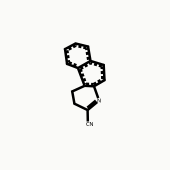 N#CC1=Nc2ccc3ccccc3c2CC1